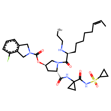 C/C=C\CCCCC[C@H](NCCC(C)(C)C)C(=O)N1C[C@H](OC(=O)N2Cc3cccc(F)c3C2)C[C@H]1C(=O)NC1(C(=O)NS(=O)(=O)C2CC2)CC1